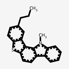 CCCc1ccc2sc3ccc4c5ccccc5n(C)c4c3c2c1